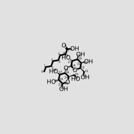 CCCCCCCC(=O)O.OC[C@H]1O[C@@H](O[C@H]2[C@H](O)[C@@H](O)C(O)O[C@@H]2CO)[C@H](O)[C@@H](O)[C@H]1O